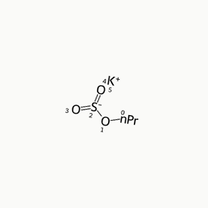 CCCO[S-](=O)=O.[K+]